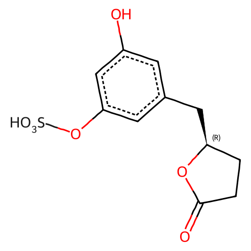 O=C1CC[C@H](Cc2cc(O)cc(OS(=O)(=O)O)c2)O1